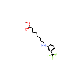 COC(=O)CCCCCCCNc1cccc(C(F)(F)F)c1